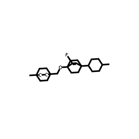 CC1CCC(C23C=C(F)C(OCC45CCC(C)(CC4)CC5)(CC2)CC3)CC1